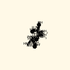 CNC(=N)NCCC[C@H](NC(=O)[C@H](CC(C)C)NC(=O)NNC(=O)[C@H](Cc1ccccc1)NC(=O)[C@@H](NC(=O)[C@H](CC(N)=O)NC(=O)[C@H](Cc1c[nH]c2ccccc12)NC(=O)[C@@H](N)Cc1ccc(O)cc1)[C@@H](C)O)C(=O)N[C@@H](Cc1c[nH]c2ccccc12)C(N)=O